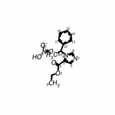 CCOC(=O)c1cncn1C(C)c1ccccc1.O=[N+]([O-])O